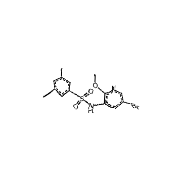 COc1ncc(Br)cc1NS(=O)(=O)c1cc(C)cc(C)c1